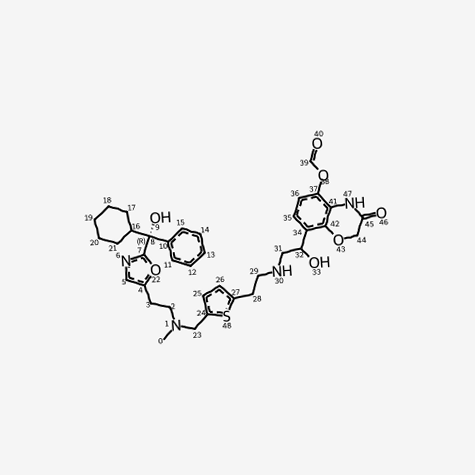 CN(CCc1cnc([C@](O)(c2ccccc2)C2CCCCC2)o1)Cc1ccc(CCNCC(O)c2ccc(OC=O)c3c2OCC(=O)N3)s1